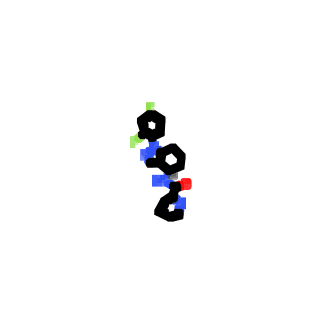 O=C(N[C@@H]1CCCc2c1cnn2-c1ccc(F)cc1F)c1ccccn1